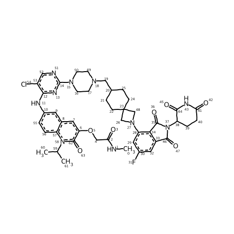 CNC(=O)COc1cc2cc(Nc3nc(N4CCN(CC5CCC6(CC5)CN(c5cc(F)cc7c5C(=O)N(C5CCC(=O)NC5=O)C7=O)C6)CC4)ncc3Cl)ccc2n(C(C)C)c1=O